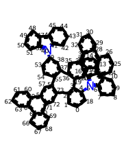 c1cc2c(c(-n3c4ccccc4c4ccccc43)c1)-c1cc3c4ccccc4c4ccccc4c3cc1-c1cc(-n3c4ccccc4c4ccccc43)ccc1-c1cc3c4ccccc4c4ccccc4c3cc1-2